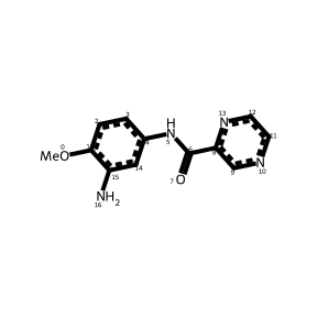 COc1ccc(NC(=O)c2cnccn2)cc1N